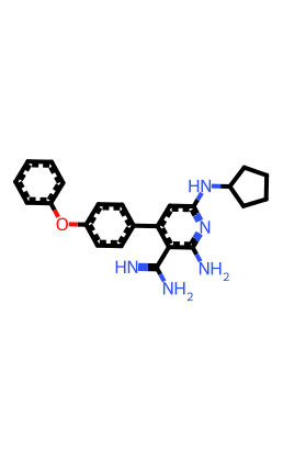 N=C(N)c1c(-c2ccc(Oc3ccccc3)cc2)cc(NC2CCCC2)nc1N